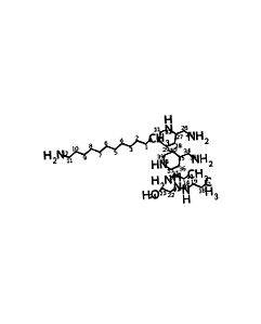 CCCCCCCCCCCCN.CCCN.CCCNNCCO.NCC1CCCCN1.NCC1CCNCC1